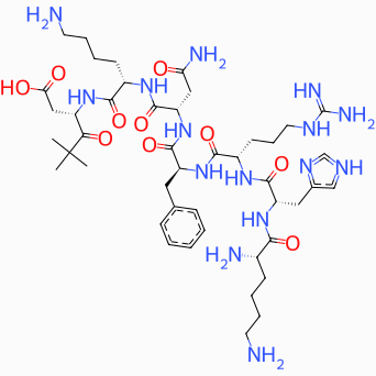 CC(C)(C)C(=O)[C@H](CC(=O)O)NC(=O)[C@H](CCCCN)NC(=O)[C@H](CC(N)=O)NC(=O)[C@H](Cc1ccccc1)NC(=O)[C@H](CCCNC(=N)N)NC(=O)[C@H](Cc1c[nH]cn1)NC(=O)[C@@H](N)CCCCN